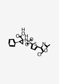 Cc1nc(-c2ccc(S(=O)(=O)N[C@]3(C(=O)O)C[C@H]3c3ccccc3)s2)c(Cl)o1